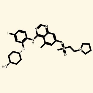 Cc1cc(N=S(C)(=O)CCN2CCCC2)cc2ncnc(Nc3ccc(F)cc3O[C@H]3CC[C@H](O)CC3)c12